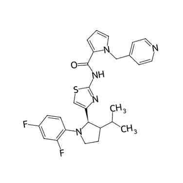 CC(C)C1CCN(c2ccc(F)cc2F)[C@H]1c1csc(NC(=O)c2cccn2Cc2ccncc2)n1